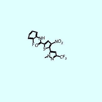 Cn1nc(C(F)(F)F)cc1-c1sc(C(=O)Nc2ccccc2F)cc1[N+](=O)[O-]